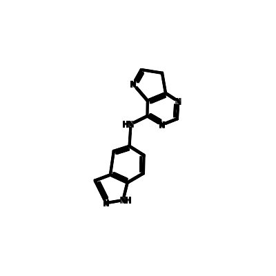 C1=Nc2c(ncnc2Nc2ccc3[nH]ncc3c2)C1